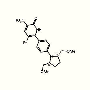 CCc1cc(C(=O)O)c(=O)[nH]c1-c1ccc(N2[C@H](COC)CC[C@H]2COC)cc1